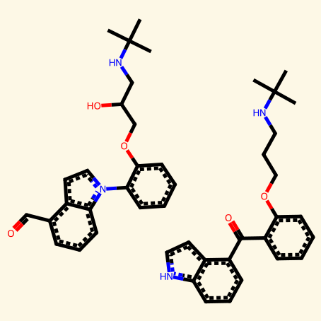 CC(C)(C)NCC(O)COc1ccccc1-n1ccc2c(C=O)cccc21.CC(C)(C)NCCCOc1ccccc1C(=O)c1cccc2[nH]ccc12